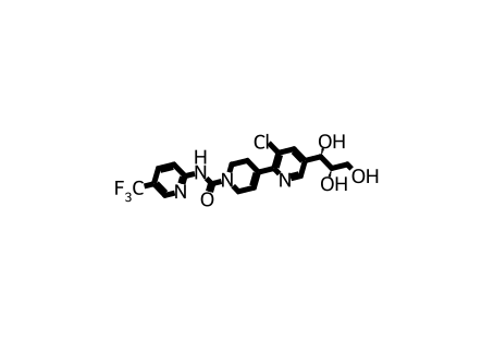 O=C(Nc1ccc(C(F)(F)F)cn1)N1CC=C(c2ncc([C@H](O)[C@@H](O)CO)cc2Cl)CC1